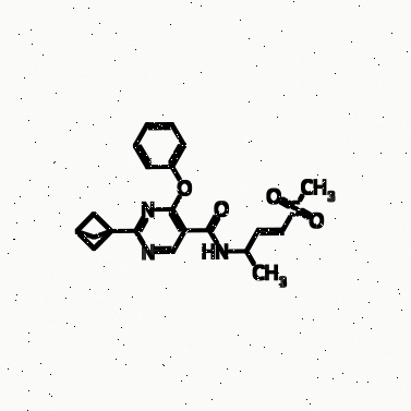 CC(C=CS(C)(=O)=O)NC(=O)c1cnc(C23CC(C2)C3)nc1Oc1ccccc1